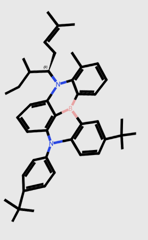 CCC(C)[C@@H](CC=C(C)C)N1c2cccc3c2B(c2cc(C(C)(C)C)ccc2N3c2ccc(C(C)(C)C)cc2)c2cccc(C)c21